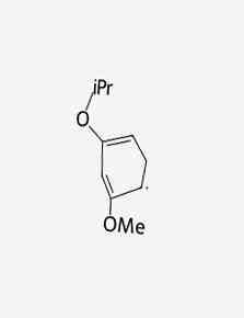 COC1=CC(OC(C)C)=CC[CH]1